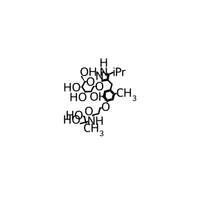 Cc1cc(OCCC(=O)NC(C)(CO)CO)ccc1Cc1c(O[C@@H]2O[C@H](CO)[C@@H](O)[C@H](O)[C@H]2O)n[nH]c1C(C)C